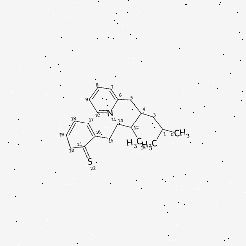 CC(C)C[C](Cc1ccccn1)C(C)CCC1=CC=CCC1=S